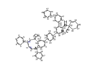 C=C1/C=C(c2ccccc2)\C=C/N(c2ccccc2)c2ccc(-c3ccc(-c4ccc(NC5(C)C=CC=CC5)c(-c5cccc(-c6ccccc6)c5)c4)cc3)cc21